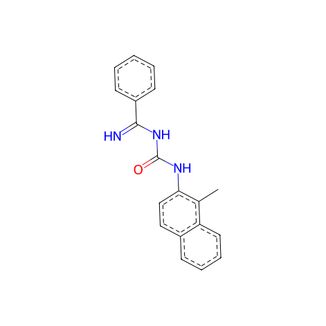 Cc1c(NC(=O)NC(=N)c2ccccc2)ccc2ccccc12